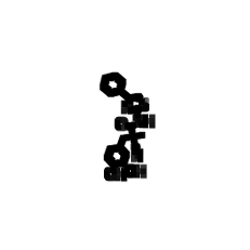 CC(C#N)(Cc1ccc(O)c(O)c1)C(=O)Nc1nc(-c2ccccc2)cs1